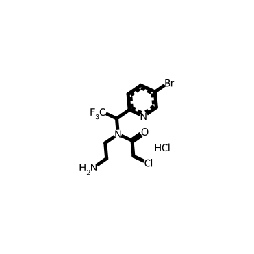 Cl.NCCN(C(=O)CCl)C(c1ccc(Br)cn1)C(F)(F)F